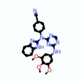 COc1cc(Nc2ncnc(N(c3ccc(C#N)cc3)c3nc4ccccc4[nH]3)n2)cc(OC)c1OC